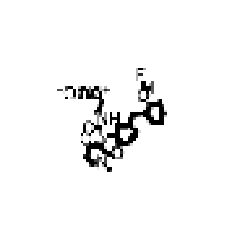 CN1C=CC(=O)[C@H](N(C(=O)NCCC(=O)[O-])c2cccc(Cc3ccccc3OC(F)F)c2)C1=O.[Na+]